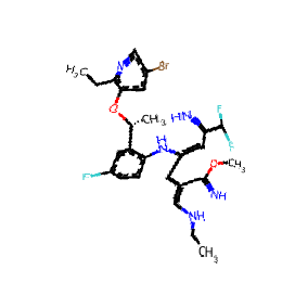 CCN/C=C(/C/C(=C/C(=N)C(F)F)Nc1ccc(F)cc1[C@@H](C)Oc1cc(Br)cnc1CC)C(=N)OC